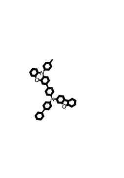 Cc1ccc(N2c3ccccc3Oc3cc(-c4ccc(N(c5ccc(-c6ccccc6)cc5)c5ccc6c(c5)oc5ccccc56)cc4)ccc32)cc1